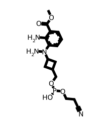 COC(=O)c1cccc(N(N)C2CC(COP(O)OCCC#N)C2)c1N